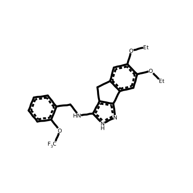 CCOc1cc2c(cc1OCC)-c1n[nH]c(NCc3ccccc3OC(F)(F)F)c1C2